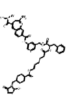 CCCN(CCC)C(=O)C1=Cc2ccc(C(=O)Nc3cncc(CNC(=O)C(Cc4ccccc4)NC(=O)CCCCCNC(=O)C4CCC(CN5C(=O)C=CC5O)CC4)c3)cc2N=C(N)C1